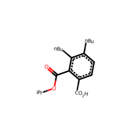 CCCCc1ccc(C(=O)O)c(C(=O)OC(C)C)c1CCCC